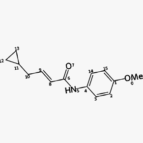 COc1ccc(NC(=O)C=CCC2CC2)cc1